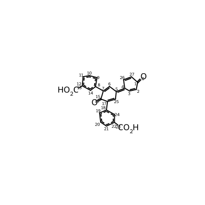 O=C1C=CC(=C2C=C(c3cccc(C(=O)O)c3)C(=O)C(c3cccc(C(=O)O)c3)=C2)C=C1